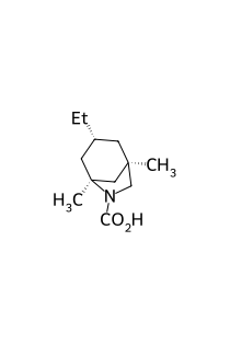 CC[C@@H]1C[C@@]2(C)CN(C(=O)O)[C@@](C)(C1)C2